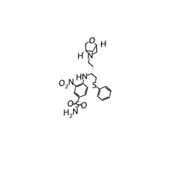 NS(=O)(=O)c1ccc(N[C@H](CCN2C[C@H]3C[C@@H]2CO3)CSc2ccccc2)c([N+](=O)[O-])c1